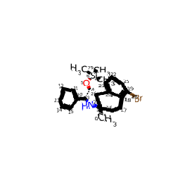 CC1(N[C@@H](CO[Si](C)(C)C)c2ccccc2)CCc2c(Br)cccc2C1